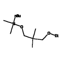 CCCC[Si](C)(C)OCC(C)(C)COCC